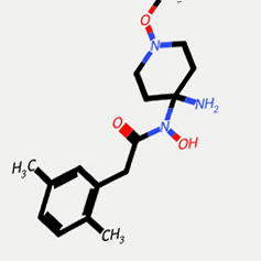 CON1CCC(N)(N(O)C(=O)Cc2cc(C)ccc2C)CC1